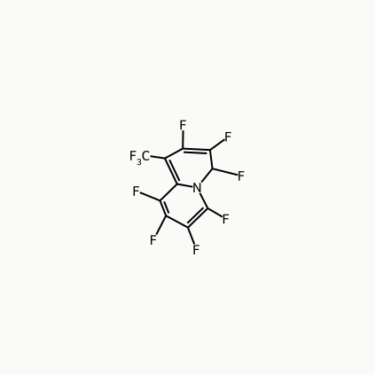 FC1=C(F)C2=C(C(F)(F)F)C(F)=C(F)C(F)N2C(F)=C1F